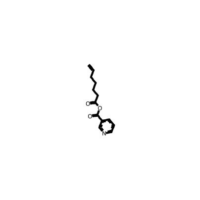 C=CCCCCC(=O)OC(=O)c1cccnc1